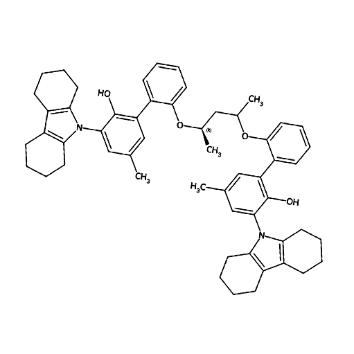 Cc1cc(-c2ccccc2OC(C)C[C@@H](C)Oc2ccccc2-c2cc(C)cc(-n3c4c(c5c3CCCC5)CCCC4)c2O)c(O)c(-n2c3c(c4c2CCCC4)CCCC3)c1